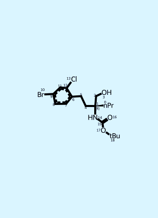 CCC[C@](CO)(CCc1ccc(Br)cc1Cl)NC(=O)OC(C)(C)C